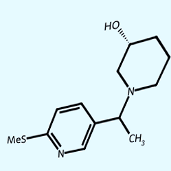 CSc1ccc(C(C)N2CCC[C@@H](O)C2)cn1